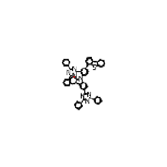 c1ccc(-c2nc(-c3ccccc3)nc(-c3ccc4c(c3)c3ccccc3n4-c3ccc(-c4cccc5c4sc4ccccc45)cc3-c3nc(-c4ccccc4)nc(-c4ccccc4)n3)n2)cc1